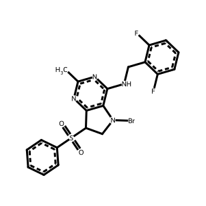 Cc1nc(NCc2c(F)cccc2F)c2c(n1)C(S(=O)(=O)c1ccccc1)CN2Br